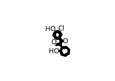 O=c1c(C2=CCC=CC=C2O)coc2cc(O)c(Cl)cc12